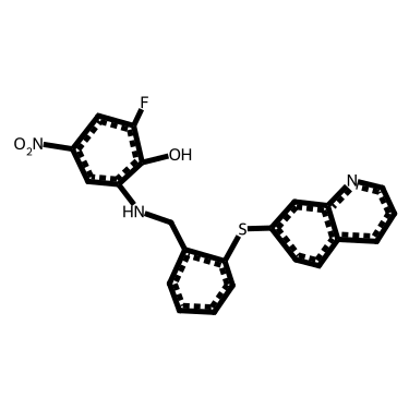 O=[N+]([O-])c1cc(F)c(O)c(NCc2ccccc2Sc2ccc3cccnc3c2)c1